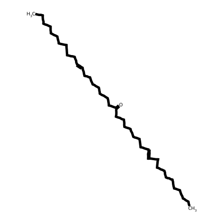 CCCCCCCCCC/C=C/CCCCCCCC(=O)CCCCCCC/C=C/CCCCCCCCCC